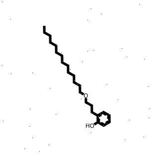 CCCCCCCCCCCCCCOCCCc1ccccc1O